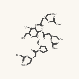 CCCCCCCCCCC[C@H](CC(=O)NC1[C@H](OC[C@@H]2CCCN2C(=O)C[C@@H](CCCCCCCCCCC)OC(=O)CCCCCCCCC)OC(CO)[C@@H](C)[C@@H]1OC(=O)C[C@@H](CCCCCCCCCCC)OC(=O)CCCCCCCCC)OC(=O)CCCCCCCCC